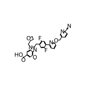 COc1cc(C(=O)O)cc2c1nc(Cc1cc(F)c(-c3cccc(OCc4ccc(C#N)nc4)n3)cc1F)n2CC1CCO1